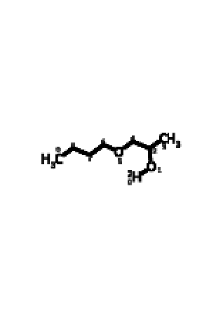 [2H]OC(C)COCCCC